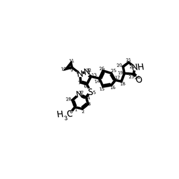 Cc1ccc(Sc2cn(C3CC3)nc2-c2ccc(CC3CCNC3=O)cc2)nc1